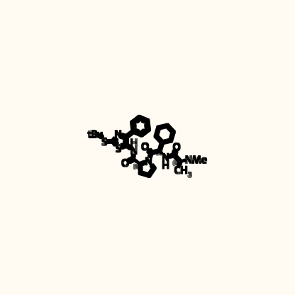 CN[C@@H](C)C(=O)N[C@H](C(=O)N1CCC[C@H]1C(=O)Nc1sc(SC(C)(C)C)nc1-c1ccccc1)C1CCCCC1